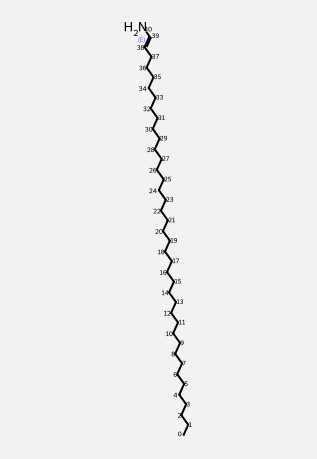 CCCCCCCCCCCCCCCCCCCCCCCCCCCCCCCCCCCCCC/C=C/N